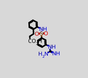 N=C(N)Nc1cccc(S(=O)(=O)Nc2ccccc2CCC(=O)O)c1